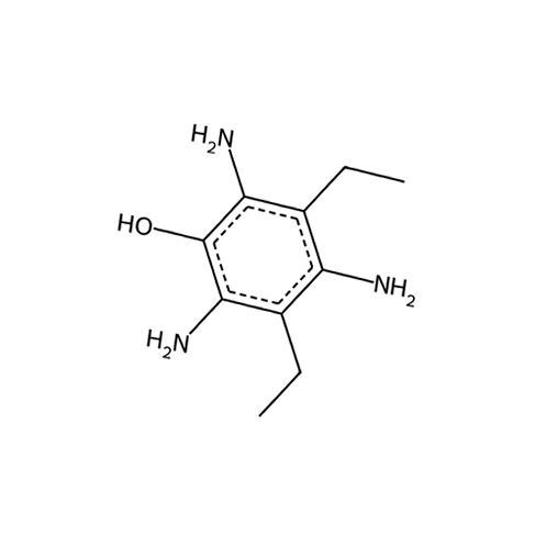 CCc1c(N)c(O)c(N)c(CC)c1N